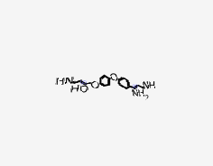 N=C/C=C(\O)COc1ccc(Oc2ccc(/C(N)=C/C=N)cc2)cc1